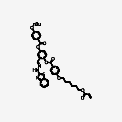 C=CC(=O)OCCCCCCOc1ccc(C(=O)Oc2ccc(OC(=O)c3ccc(OCCCC)cc3)cc2/C=N/Nc2nc3ccccc3s2)cc1